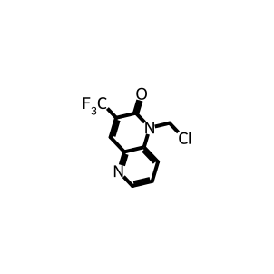 O=c1c(C(F)(F)F)cc2ncccc2n1CCl